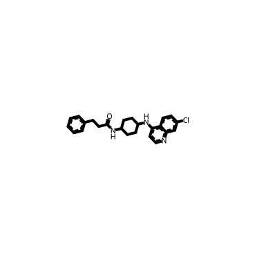 O=C(CCc1ccccc1)NC1CCC(Nc2ccnc3cc(Cl)ccc23)CC1